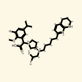 COc1c(F)cc(C(C)C)cc1C(C(=O)O)N1CC[C@@H](N(CCCCCc2ccc3c(n2)NCCC3)CC(F)F)C1